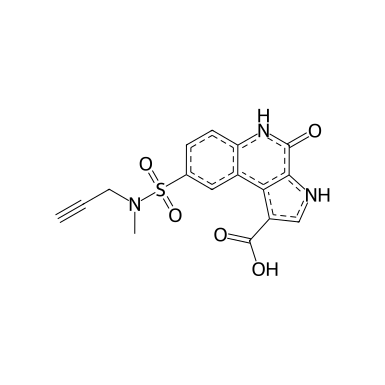 C#CCN(C)S(=O)(=O)c1ccc2[nH]c(=O)c3[nH]cc(C(=O)O)c3c2c1